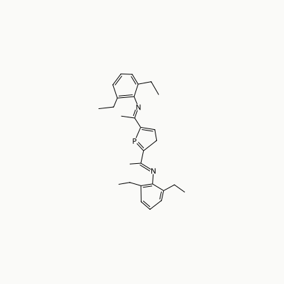 CCc1cccc(CC)c1/N=C(\C)C1=CCC(/C(C)=N/c2c(CC)cccc2CC)=P1